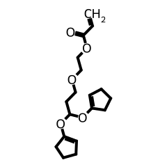 C=CC(=O)OCCOCCC(OC1=CCCC1)OC1=CCCC1